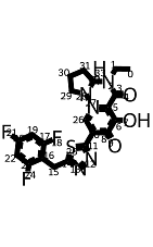 CCN1C(=O)c2c(O)c(=O)c(-c3nnc(Cc4c(F)cc(F)cc4F)s3)cn2N2CCC[C@@H]12